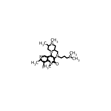 Cc1ncc2c3c(c(=O)n(C)c2c1F)N(CCCN(C)C)CC1CN(C)C(C)CN31